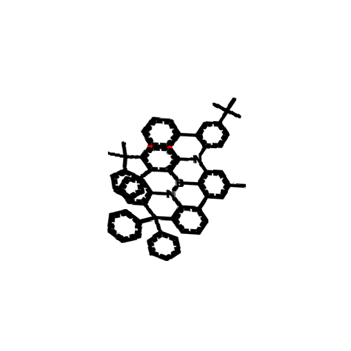 Cc1cc2c3c(c1)N(c1ccc(C(C)(C)C)cc1-c1ccccc1)c1ccc4c(c1B3N1c3ccccc3C(c3ccccc3)(c3ccccc3)c3cccc-2c31)-c1ccccc1C4(C)C